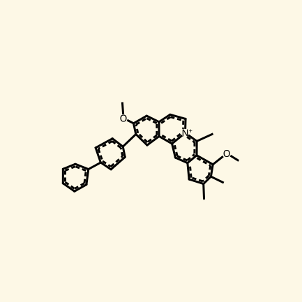 COc1cc2cc[n+]3c(C)c4c(OC)c(C)c(C)cc4cc3c2cc1-c1ccc(-c2ccccc2)cc1